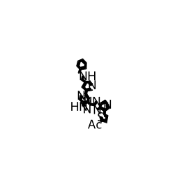 CC(=O)c1ccc(-c2cncc3[nH]c(-c4n[nH]c5cnc(-c6cncc(CNCc7ccccc7)c6)cc45)nc23)s1